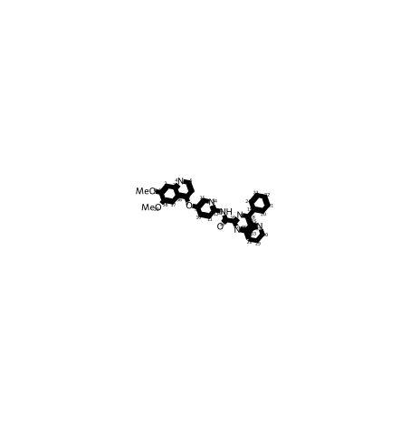 COc1cc2nccc(Oc3ccc(NC(=O)c4nc(-c5ccccc5)c5c(n4)C4CCN5CC4)nc3)c2cc1OC